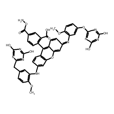 COc1ccc(Oc2nc(O)nc(O)n2)cc1/N=c1\ccc2c(-c3ccc(C(=O)ON)cc3C(=O)O)c3ccc(Nc4cc(Cc5nc(O)nc(O)n5)ccc4OC)cc3oc-2c1